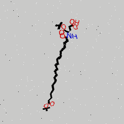 CC(C)(C)OC(=O)CCCCCCCCCCCCCCCCCCC(=O)N[C@@H](CCC(=O)O)C(=O)OC(C)(C)C